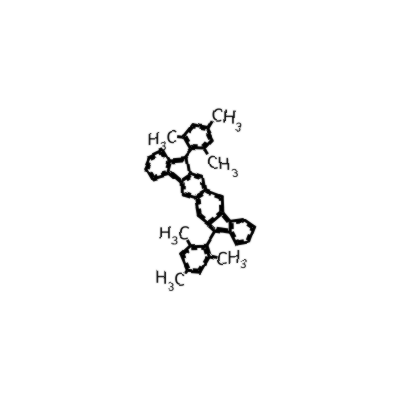 Cc1cc(C)c(C2=c3ccccc3=c3cc4cc5c(cc4cc32)=c2ccccc2=C5c2c(C)cc(C)cc2C)c(C)c1